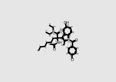 CCCCCCC(NC(C)=O)(C(=O)N(CC)CC)c1c(C)n(C(=O)c2ccc(Cl)cc2)c2ccc(O)cc12